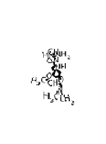 CCN(CC)CCOc1cc(OC(C)C)c2cc(C(=O)N=C(N)NC)[nH]c2c1